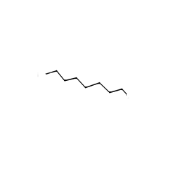 [2H]CCCCCCCC(C)C